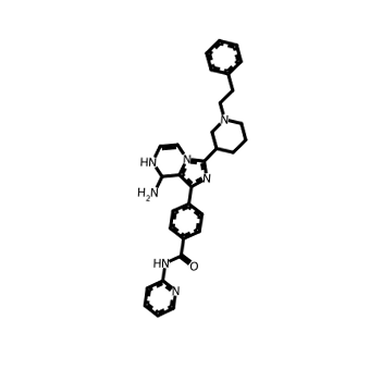 NC1NC=Cn2c(C3CCCN(CCc4ccccc4)C3)nc(-c3ccc(C(=O)Nc4ccccn4)cc3)c21